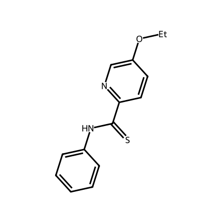 CCOc1ccc(C(=S)Nc2ccccc2)nc1